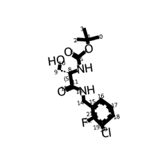 CC(C)(C)OC(=O)N[C@@H](CO)C(=O)NCc1cccc(Cl)c1F